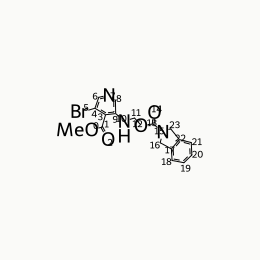 COC(=O)c1c(Br)cncc1NCOC(=O)N1Cc2ccccc2C1